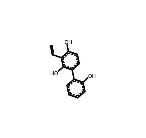 C=Cc1c(O)ccc(-c2ccccc2O)c1O